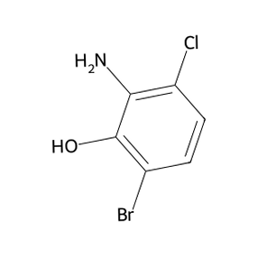 Nc1c(Cl)ccc(Br)c1O